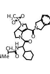 CNC(C)C(=O)NC(C(=O)N1CCC2C1=C(C(=O)N1Cc3ccccc3C1)CN2S(C)(=O)=O)C1CCCCC1